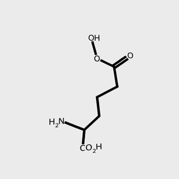 NC(CCCC(=O)OO)C(=O)O